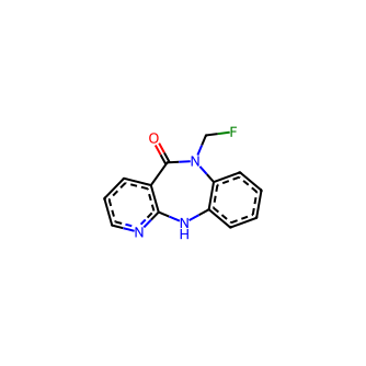 O=C1c2cccnc2Nc2ccccc2N1CF